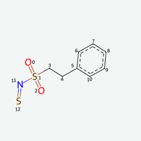 O=S(=O)(CCc1ccccc1)N=S